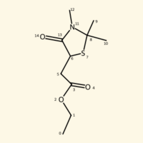 CCOC(=O)CC1SC(C)(C)N(C)C1=O